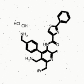 Cc1nc(CC(C)C)c(CN)c(-c2ccc(CN)cc2)c1NC(=O)c1csc(-c2ccccc2)n1.Cl.Cl